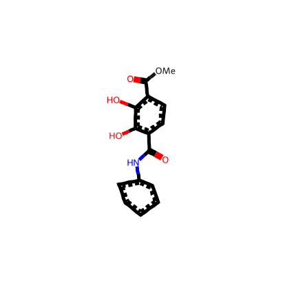 COC(=O)c1ccc(C(=O)Nc2ccccc2)c(O)c1O